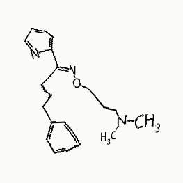 CN(C)CCCON=C(CCCc1ccccc1)c1ccccn1